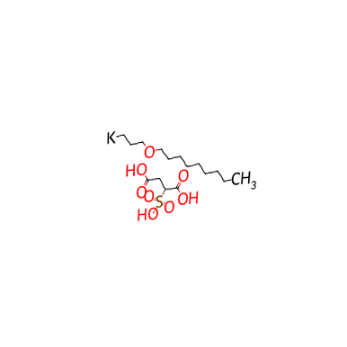 CCCCCCCCCOCC[CH2][K].O=C(O)CC(C(=O)O)S(=O)(=O)O